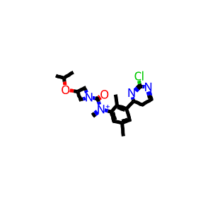 C=[N+](C(=O)N1CC(OC(C)C)C1)c1cc(C)cc(C2CC=NC(Cl)=N2)c1C